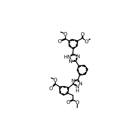 COC(=O)Cc1ccc(C(=O)OC)cc1-c1nc(-c2cccc(-c3n[nH]c(-c4cc(C(=O)OC)cc(C(=O)OC)c4)n3)c2)n[nH]1